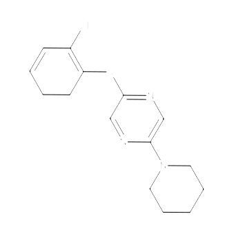 ClC1=C(Sc2cnc(N3CCCCC3)cn2)CCC=C1